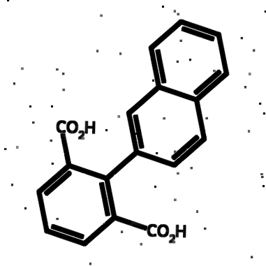 O=C(O)c1cccc(C(=O)O)c1-c1ccc2ccccc2c1